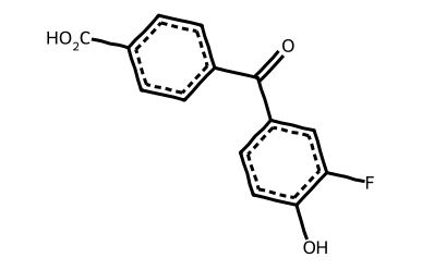 O=C(O)c1ccc(C(=O)c2ccc(O)c(F)c2)cc1